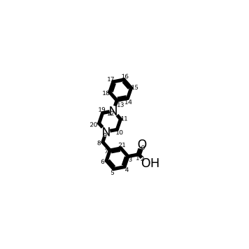 O=C(O)c1cccc(CN2CCN(c3ccccc3)CC2)c1